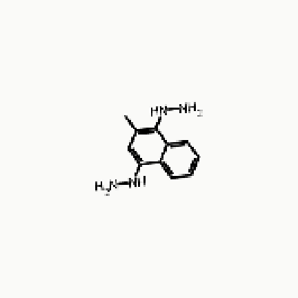 Cc1cc(NN)c2ccccc2c1NN